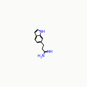 N=C(N)CCc1ccc2c[c][nH]c2c1